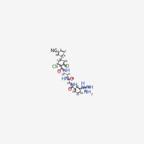 N#Cc1cccc(-c2cc(Cl)c(C(=O)NCCNC(=O)CNC(=O)c3cccc(NC(=N)N)c3)c(Cl)c2)c1